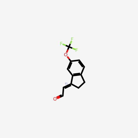 O=C/C=C1\CCc2ccc(OC(F)(F)F)cc21